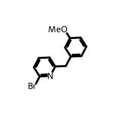 COc1cccc(Cc2cccc(Br)n2)c1